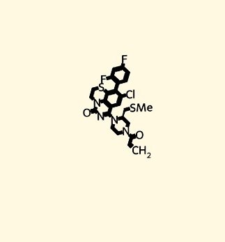 C=CC(=O)N1CCN(c2nc(=O)n3c4c(c(-c5ccc(F)cc5F)c(Cl)cc24)SCC3)[C@@H](CSC)C1